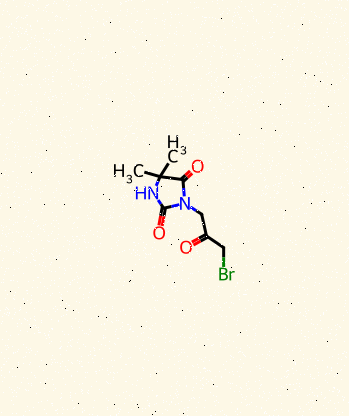 CC1(C)NC(=O)N(CC(=O)CBr)C1=O